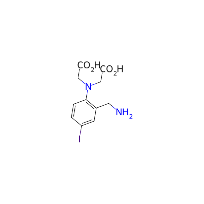 NCc1cc(I)ccc1N(CC(=O)O)CC(=O)O